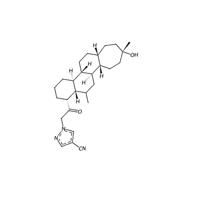 CC1C[C@H]2[C@@H](CC[C@@H]3CC[C@](C)(O)CC[C@@H]32)[C@@H]2CCC[C@@H](C(=O)Cn3cc(C#N)cn3)[C@@H]12